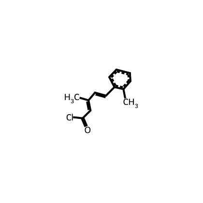 CC(C=Cc1ccccc1C)=CC(=O)Cl